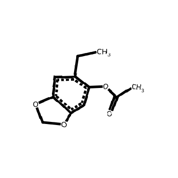 CCc1cc2c(cc1OC(C)=O)OCO2